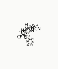 Cc1nn(C(C)(C)C#N)cc1Nc1ncc(Cl)c(OCC2CCCCC2)n1